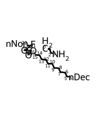 C=CCN.CCCCCCCCCCCCCCCCCCCCCOS(=O)(=O)C(F)CCCCCCCCC